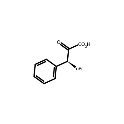 CCC[C@H](C(=O)C(=O)O)c1ccccc1